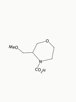 COCC1COCCN1C(=O)O